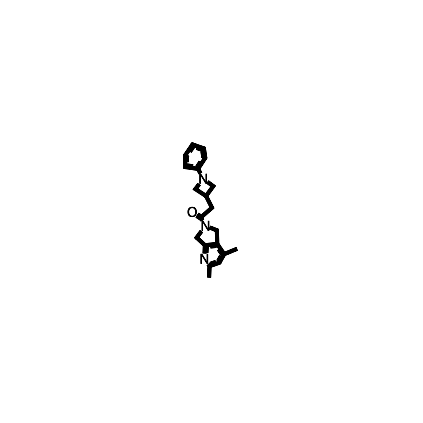 Cc1cc(C)c2c(n1)CN(C(=O)CC1CN(c3ccccc3)C1)C2